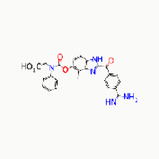 Cc1c(OC(=O)N(CC(=O)O)c2ccccc2)ccc2[nH]c(C(=O)c3ccc(C(=N)N)cc3)nc12